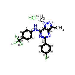 Cc1nn(C)c2c(Nc3ccc(C(F)(F)F)cc3)nc(-c3ccc(F)cc3)nc12.Cl